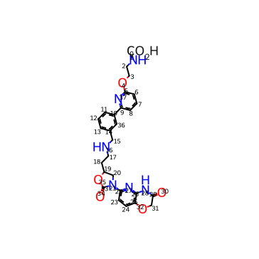 O=C(O)NCCOc1cccc(-c2cccc(CNCCC3CN(c4ccc5c(n4)NC(=O)CO5)C(=O)O3)c2)n1